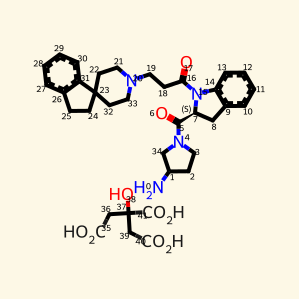 NC1CCN(C(=O)[C@@H]2Cc3ccccc3N2C(=O)CCN2CCC3(CCc4ccccc43)CC2)C1.O=C(O)CC(O)(CC(=O)O)C(=O)O